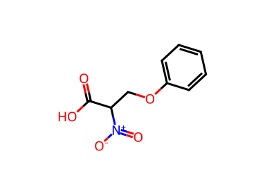 O=C(O)C(COc1ccccc1)[N+](=O)[O-]